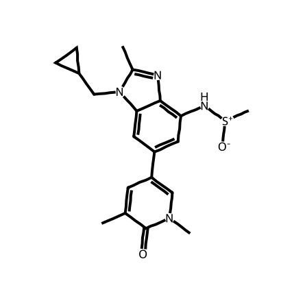 Cc1cc(-c2cc(N[S+](C)[O-])c3nc(C)n(CC4CC4)c3c2)cn(C)c1=O